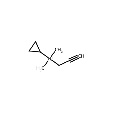 C#CC[N+](C)(C)C1CC1